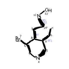 C/C=c1/cncc(Br)/c1=C/C=N/O